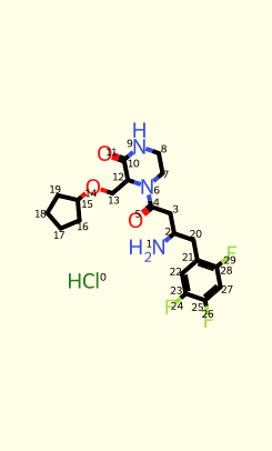 Cl.NC(CC(=O)N1CCNC(=O)C1COC1CCCC1)Cc1cc(F)c(F)cc1F